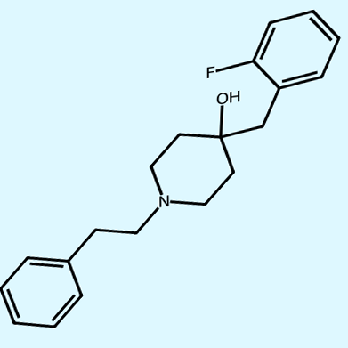 OC1(Cc2ccccc2F)CCN(CCc2ccccc2)CC1